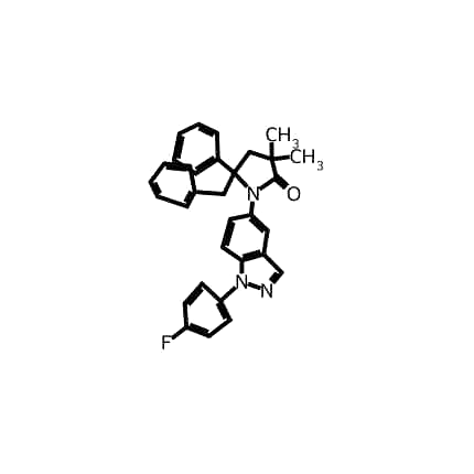 CC1(C)CC(Cc2ccccc2)(c2ccccc2)N(c2ccc3c(cnn3-c3ccc(F)cc3)c2)C1=O